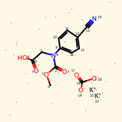 COC(=O)N(CC(=O)O)c1ccc(C#N)cc1.O=C([O-])[O-].[K+].[K+]